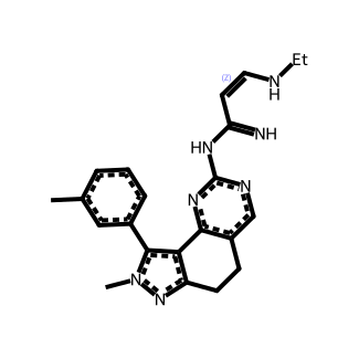 CCN/C=C\C(=N)Nc1ncc2c(n1)-c1c(nn(C)c1-c1cccc(C)c1)CC2